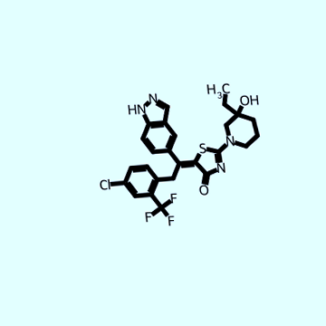 CCC1(O)CCCN(C2=NC(=O)C(=C(Cc3ccc(Cl)cc3C(F)(F)F)c3ccc4[nH]ncc4c3)S2)C1